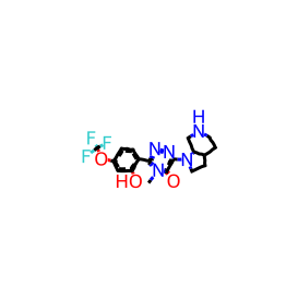 Cn1c(-c2ccc(OC(F)(F)F)cc2O)nnc(N2CCC3CCNCC32)c1=O